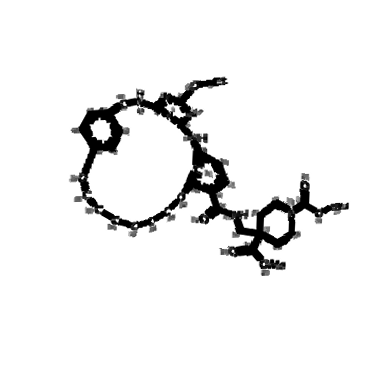 CCOc1nc2nc(n1)Nc1ccc(C(=O)NCC3(C(=O)OC)CCN(C(=O)OC(C)(C)C)CC3)c(c1)OCCCCCCOc1ccc(cc1)CN2